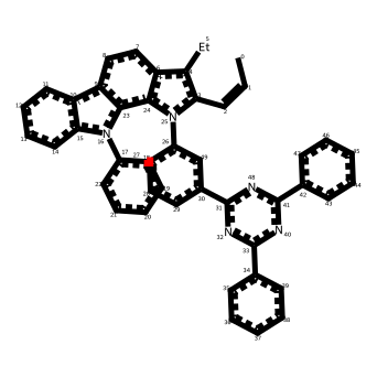 C/C=C\c1c(CC)c2ccc3c4ccccc4n(-c4ccccc4)c3c2n1-c1cccc(-c2nc(-c3ccccc3)nc(-c3ccccc3)n2)c1